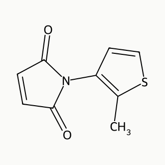 Cc1sccc1N1C(=O)C=CC1=O